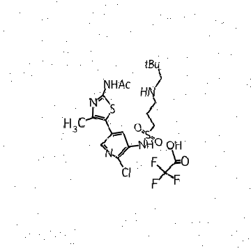 CC(=O)Nc1nc(C)c(-c2cnc(Cl)c(NS(=O)(=O)CCCNCC(C)(C)C)c2)s1.O=C(O)C(F)(F)F